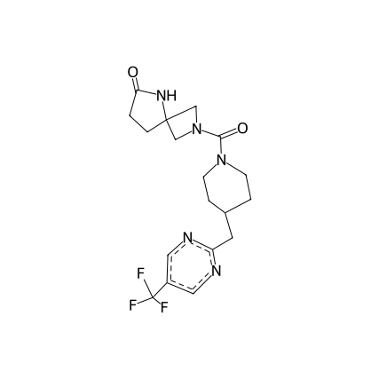 O=C1CCC2(CN(C(=O)N3CCC(Cc4ncc(C(F)(F)F)cn4)CC3)C2)N1